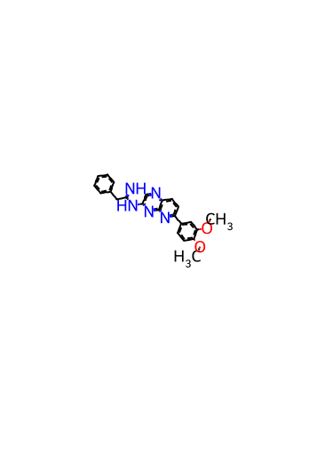 COc1ccc(-c2ccc3ncc(NC(=N)Cc4ccccc4)nc3n2)cc1OC